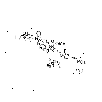 COC(=O)c1nc(N(CCCCO[Si](C)(C)C(C)(C)C)c2cc(C)c(/N=c3\sc4ccccc4n3COCC[Si](C)(C)C)nn2)sc1CCCOc1ccc(C#CCN(C)CCCS(=O)(=O)O)cc1F